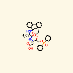 C[C@H](NC1(c2ccccc2-c2ccccc2)CCCCO1)C(=O)N[C@@H](CC(=O)O)C(=O)COP(=O)(c1ccccc1)c1ccccc1